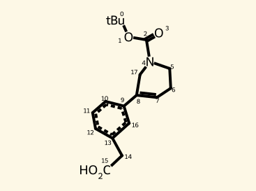 CC(C)(C)OC(=O)N1CCC=C(c2cccc(CC(=O)O)c2)C1